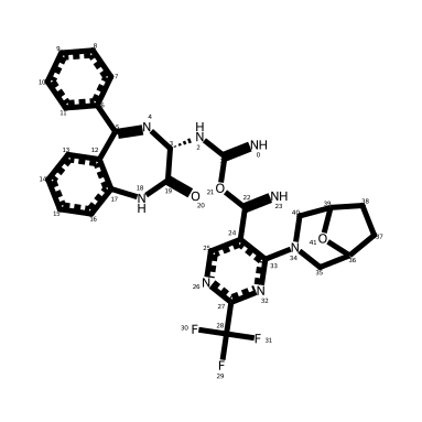 N=C(N[C@H]1N=C(c2ccccc2)c2ccccc2NC1=O)OC(=N)c1cnc(C(F)(F)F)nc1N1CC2CCC(C1)O2